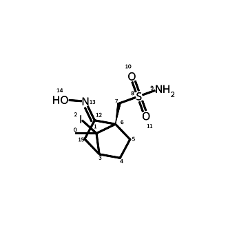 CC1(I)C2CC[C@@]1(CS(N)(=O)=O)/C(=N/O)C2